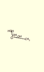 CCCCCCCCC(O)/C=C/C=C/[C@@H]1CCCC[C@H]1C(O)CCCC(=O)O